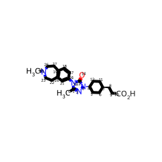 Cc1nn([C@H]2CC[C@H](CCC(=O)O)CC2)c(=O)n1-c1ccc2c(c1)CCN(C)CC2